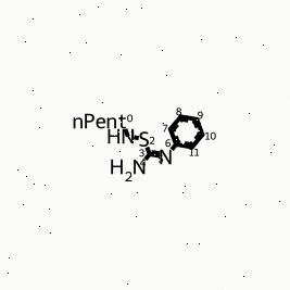 CCCCCNSC(N)=Nc1ccccc1